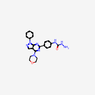 NNC(=O)Nc1ccc(-c2nc(N3CCOCC3)c3cnn(-c4ccccc4)c3n2)cc1